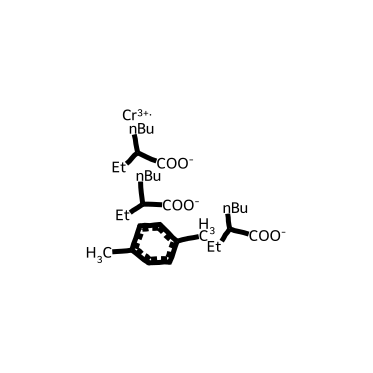 CCCCC(CC)C(=O)[O-].CCCCC(CC)C(=O)[O-].CCCCC(CC)C(=O)[O-].Cc1ccc(C)cc1.[Cr+3]